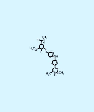 CNC(=O)c1cc(COc2ccc(Nc3ccc(N4C=C(C)N[C@@H](C)C4)cc3)nc2)c(F)c(OC)c1